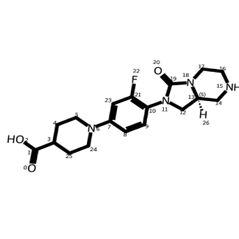 O=C(O)C1CCN(c2ccc(N3C[C@@H]4CNCCN4C3=O)c(F)c2)CC1